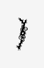 CCCCC(CC)COC(=O)OC1CCC(OC(=O)OCCCCC(C)C)CC1